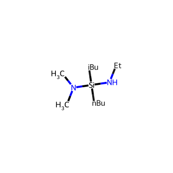 CCCC[Si](NCC)(C(C)CC)N(C)C